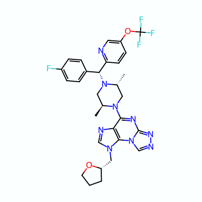 C[C@@H]1CN(c2nc3nncn3c3c2ncn3C[C@@H]2CCCO2)[C@@H](C)CN1[C@H](c1ccc(F)cc1)c1ccc(OC(F)(F)F)cn1